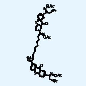 CC(=O)ON=C(CCCCCCCCC(=NOC(C)=O)c1ccc2sc3ccc(C(CC(C)C)=NOC(C)=O)cc3c(=O)c2c1)c1ccc2sc3ccc(C(CC(C)C)=NOC(C)=O)cc3c(=O)c2c1